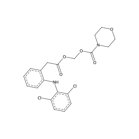 O=C(Cc1ccccc1Nc1c(Cl)cccc1Cl)OCOC(=O)N1CCOCC1